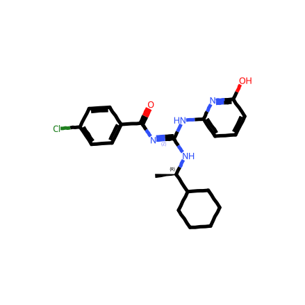 C[C@@H](N/C(=N/C(=O)c1ccc(Cl)cc1)Nc1cccc(O)n1)C1CCCCC1